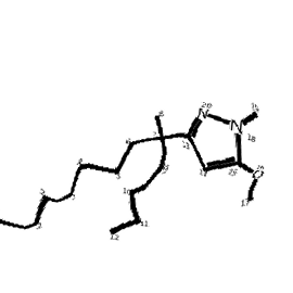 CCCCCCCC(C)(CCCC)c1cc(OC)n(C)n1